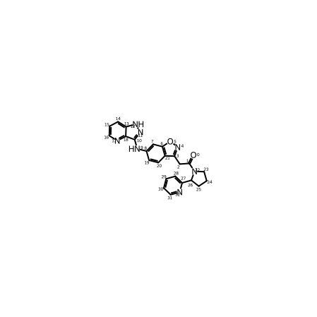 O=C(Cc1noc2cc(Nc3n[nH]c4cccnc34)ccc12)N1CCCC1c1ccccn1